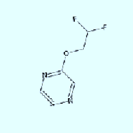 FC(F)COc1cn[c]cn1